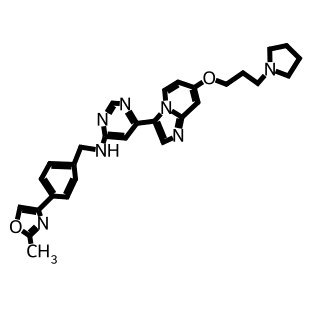 Cc1nc(-c2ccc(CNc3cc(-c4cnc5cc(OCCCN6CCCC6)ccn45)ncn3)cc2)co1